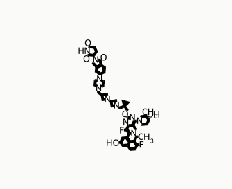 CCc1c(F)ccc2cc(O)cc(-c3ncc4c(N5CCC[C@@](C)(O)C5)nc(OCC5(CN6CC(N7CC(CN8CCN(c9ccc%10c(c9)CN([C@@H]9CCC(=O)NC9=O)C%10=O)CC8)C7)C6)CC5)nc4c3F)c12